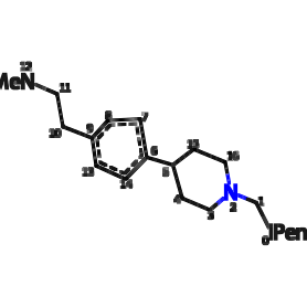 CCCC(C)CN1CCC(c2ccc(CCNC)cc2)CC1